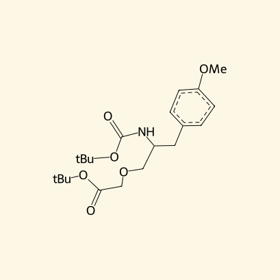 COc1ccc(CC(COCC(=O)OC(C)(C)C)NC(=O)OC(C)(C)C)cc1